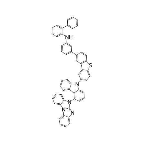 c1ccc(-c2ccccc2Nc2cccc(-c3ccc4sc5ccc(-n6c7ccccc7c7c(-n8c9ccccc9n9c%10ccccc%10nc89)cccc76)cc5c4c3)c2)cc1